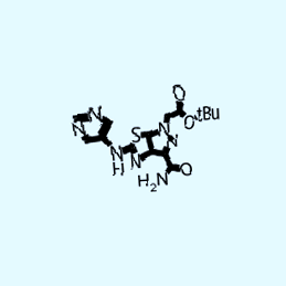 CC(C)(C)OC(=O)CN1N=C(C(N)=O)C2N=C(Nc3cncnc3)SC21